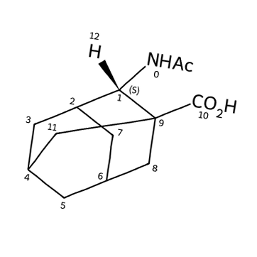 CC(=O)N[C@H]1C2CC3CC(C2)CC1(C(=O)O)C3